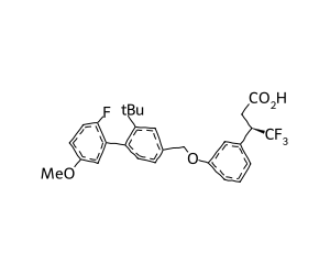 COc1ccc(F)c(-c2ccc(COc3cccc([C@@H](CC(=O)O)C(F)(F)F)c3)cc2C(C)(C)C)c1